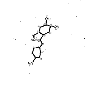 OC1CCC(CC2NCC3CC(O)C(O)CC32)CC1